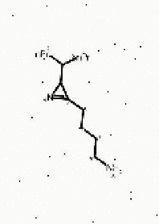 CCCC(CCC)C1N=C1CCCCN